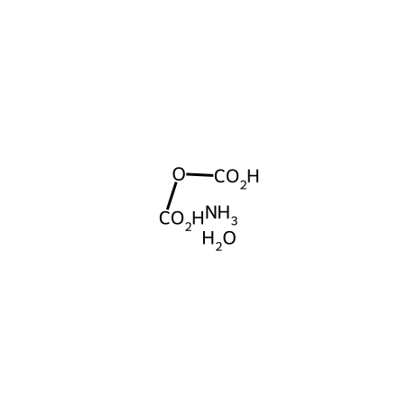 N.O.O=C(O)OC(=O)O